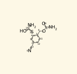 N#Cc1ccc(COC(N)=O)cc1.NC(O)=S